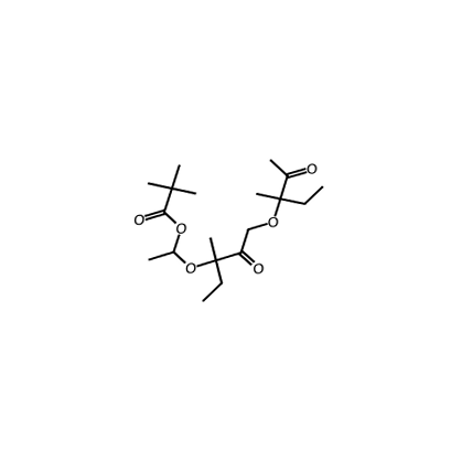 CCC(C)(OCC(=O)C(C)(CC)OC(C)OC(=O)C(C)(C)C)C(C)=O